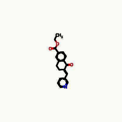 CCOC(=O)c1ccc2c(c1)CCC(=Cc1cccnc1)C2=O